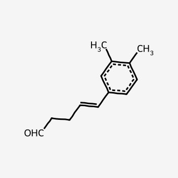 Cc1ccc(/C=C/CCC=O)cc1C